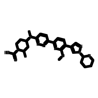 COc1nc(-c2ccc(N(C)C3CCN(C(=O)O)C(C)C3)nn2)ccc1-c1cnn(C2CCCCO2)c1